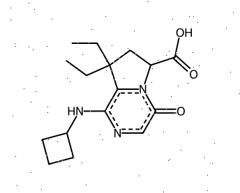 CCC1(CC)CC(C(=O)O)n2c1c(NC1CCC1)ncc2=O